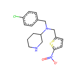 O=[N+]([O-])c1ccc(CN(Cc2ccc(Cl)cc2)C2CCCNC2)s1